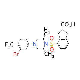 CC1CN(c2ccc(C(F)(F)F)c(Br)c2)CC(C)N1S(=O)(=O)c1cccc2c1CC(C(=O)O)C2